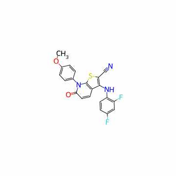 COc1ccc(-n2c(=O)ccc3c(Nc4ccc(F)cc4F)c(C#N)sc32)cc1